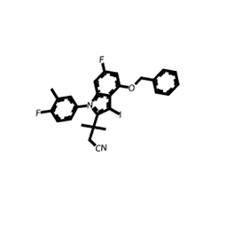 Cc1cc(-n2c(C(C)(C)CC#N)c(I)c3c(OCc4ccccc4)cc(F)cc32)ccc1F